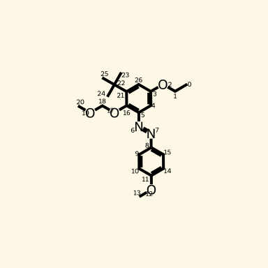 CCOc1cc(/N=N/c2ccc(OC)cc2)c(OCOC)c(C(C)(C)C)c1